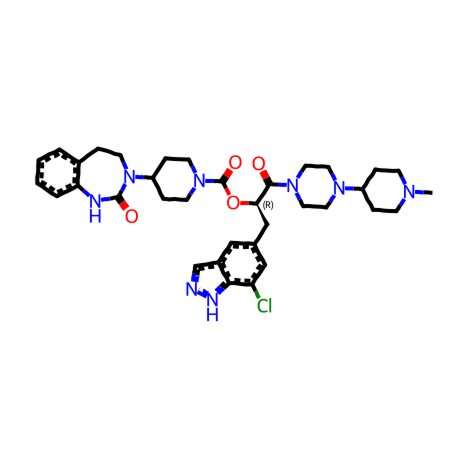 CN1CCC(N2CCN(C(=O)[C@@H](Cc3cc(Cl)c4[nH]ncc4c3)OC(=O)N3CCC(N4CCc5ccccc5NC4=O)CC3)CC2)CC1